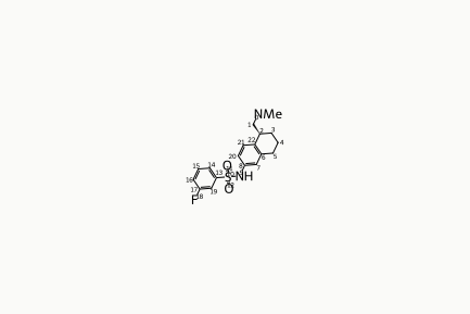 CNC[C@H]1CCCc2cc(NS(=O)(=O)c3cccc(F)c3)ccc21